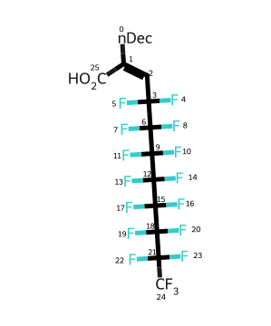 CCCCCCCCCCC(=CC(F)(F)C(F)(F)C(F)(F)C(F)(F)C(F)(F)C(F)(F)C(F)(F)C(F)(F)F)C(=O)O